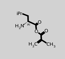 C=C(C)C(=O)OC(=O)[C@H](N)CC(C)C